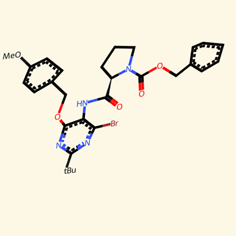 COc1ccc(COc2nc(C(C)(C)C)nc(Br)c2NC(=O)[C@H]2CCCN2C(=O)OCc2ccccc2)cc1